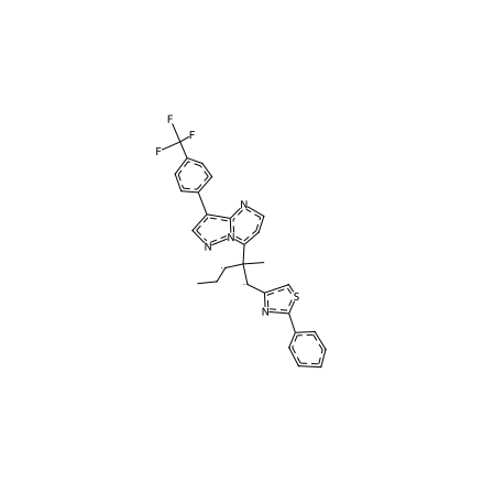 CC[CH]C(C)([CH]c1csc(-c2ccccc2)n1)c1ccnc2c(-c3ccc(C(F)(F)F)cc3)cnn12